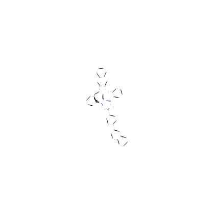 c1ccc(-c2nc(-c3ccc(-c4ccc5ccccc5c4)cc3)nc(-c3ccccc3-n3c4ccccc4c4cc5ccccc5cc43)n2)cc1